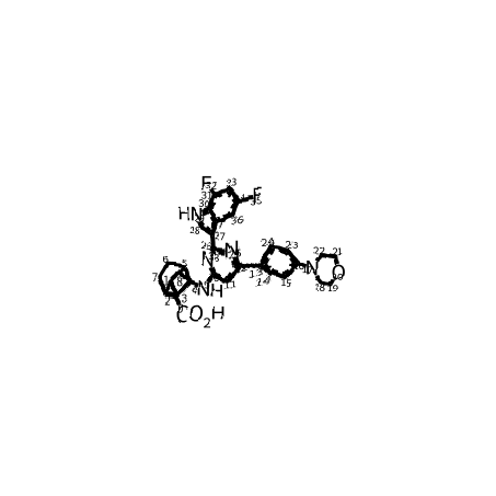 O=C(O)C1C2CCC(CC2)C1Nc1cc(-c2ccc(N3CCOCC3)cc2)nc(-c2c[nH]c3c(F)cc(F)cc23)n1